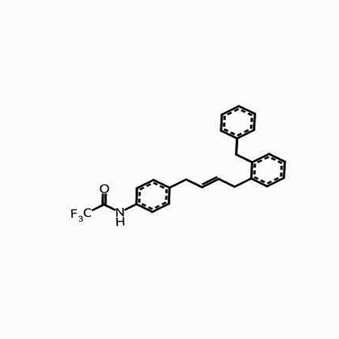 O=C(Nc1ccc(CC=CCc2ccccc2Cc2ccccc2)cc1)C(F)(F)F